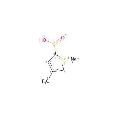 O=S(O)c1cc(C(F)(F)F)cs1.[NaH]